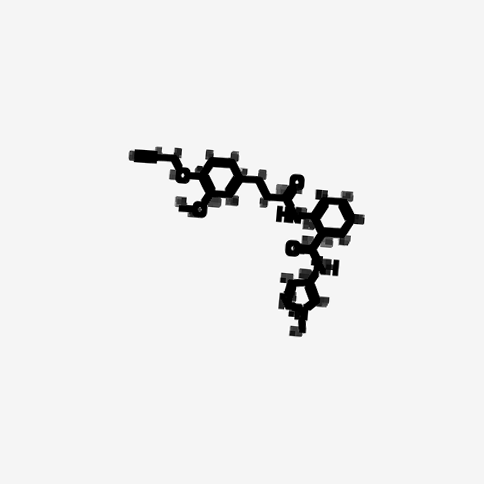 C#CCOc1ccc(CCC(=O)Nc2ccccc2C(=O)Nc2cnn(C)c2)cc1OC